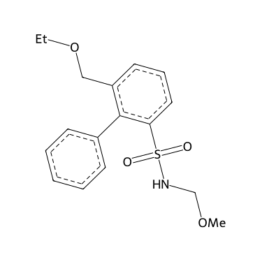 CCOCc1cccc(S(=O)(=O)NCOC)c1-c1ccccc1